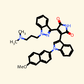 COc1ccc2cc(-n3cc(C4=C(c5nn(CCCN(C)C)c6ccccc56)C(=O)NC4=O)c4ccccc43)ccc2c1